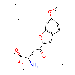 COc1ccc2cc(C(=O)C[C@@H](N)C(=O)O)oc2c1